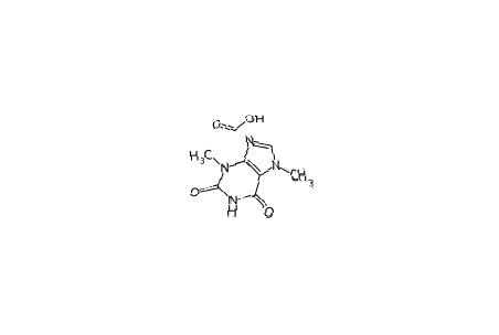 Cn1cnc2c1c(=O)[nH]c(=O)n2C.O=CO